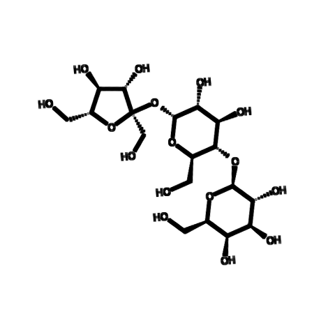 OC[C@H]1O[C@@H](O[C@H]2[C@H](O)[C@@H](O)[C@@H](O[C@@]3(CO)O[C@H](CO)[C@@H](O)[C@@H]3O)O[C@@H]2CO)[C@H](O)[C@@H](O)[C@H]1O